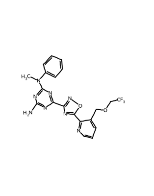 CN(c1ccccc1)c1nc(N)nc(-c2noc(-c3ncccc3COCC(F)(F)F)n2)n1